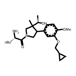 CCCC[C@H](N)C(=O)N1CC(c2ccc(OC)c(OCC3CC3)c2)C(C)([C@@H](C)O)C1